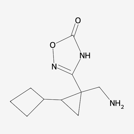 NCC1(c2noc(=O)[nH]2)CC1C1CCC1